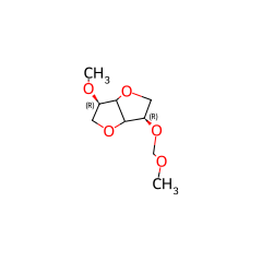 COCO[C@@H]1COC2C1OC[C@H]2OC